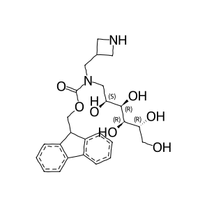 O=C(OCC1c2ccccc2-c2ccccc21)N(CC1CNC1)C[C@H](O)[C@@H](O)[C@H](O)[C@H](O)CO